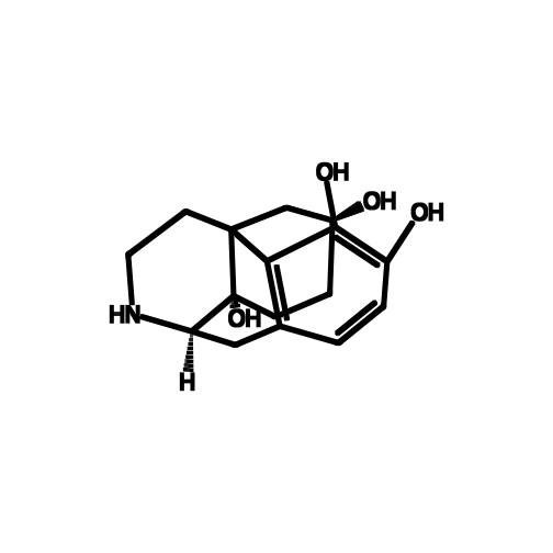 Oc1ccc2c(c1O)C13CCN[C@H](C2)[C@]1(O)CC[C@H](O)C3